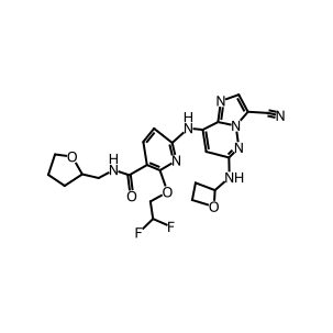 N#Cc1cnc2c(Nc3ccc(C(=O)NCC4CCCO4)c(OCC(F)F)n3)cc(NC3CCO3)nn12